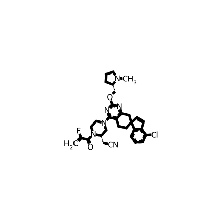 C=C(F)C(=O)N1CCN(c2nc(OC[C@@H]3CCCN3C)nc3c2CCC2(C=Cc4c(Cl)cccc42)C3)C[C@@H]1CC#N